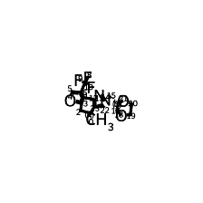 C[C@@H]1Cc2occ(C(F)(F)F)c2-c2nn(C[C@H]3COCCO3)cc21